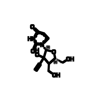 C#CC1(O)C(CO)[C@@H](CO)O[C@H]1n1ccc(=O)[nH]c1=O